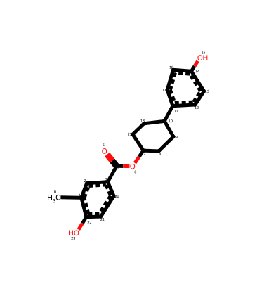 Cc1cc(C(=O)OC2CCC(c3ccc(O)cc3)CC2)ccc1O